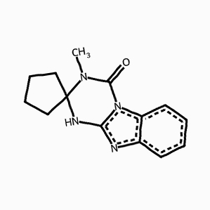 CN1C(=O)n2c(nc3ccccc32)NC12CCCC2